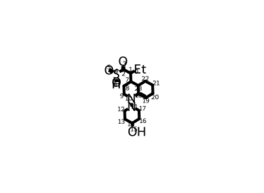 CCC(C(=O)[SH](=O)=O)C1CCN(N2CCC(O)CC2)C2=CCCCC21